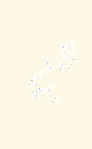 O=C(CN1CCN(c2cccc(-c3cnc4ccc(N5CCC[C@@H]5c5cccc(F)c5)nn34)n2)CC1)NCCCNc1cccc2c1C(=O)N(C1CCC(=O)NC1=O)C2=O